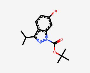 CC(C)c1nn(C(=O)OC(C)(C)C)c2cc(O)ccc12